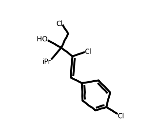 CC(C)C(O)(CCl)C(Cl)=Cc1ccc(Cl)cc1